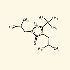 CC(C)Cc1c(C(C)(C)C)[nH]n(CC(C)C)c1=O